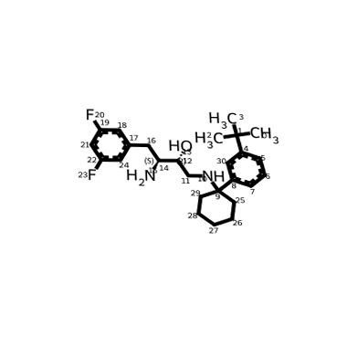 CC(C)(C)c1cccc(C2(NC[C@@H](O)[C@@H](N)Cc3cc(F)cc(F)c3)CCCCC2)c1